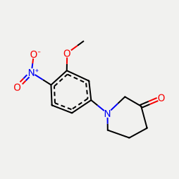 COc1cc(N2CCCC(=O)C2)ccc1[N+](=O)[O-]